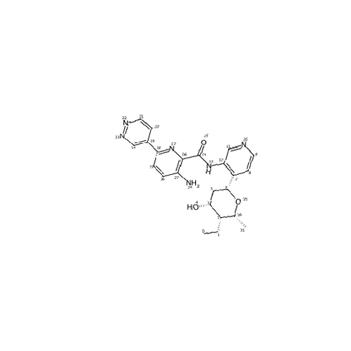 CC[C@@H]1[C@H](O)C[C@H](c2ccncc2NC(=O)c2nc(-c3ccnnc3)ccc2N)O[C@@H]1C